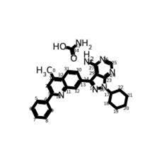 Cc1cc(-c2ccccc2)nc2cc(-c3nn(C4CCCCC4)c4ncnc(N)c34)ccc12.NC(=O)O